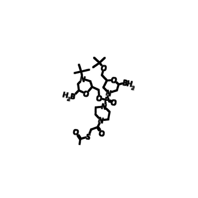 BC1CN(C(C)(C)C)CC(COP(=O)(N2CCN(C(=O)CSC(C)=O)CC2)N2CC(B)OC(COC(C)(C)C)C2)O1